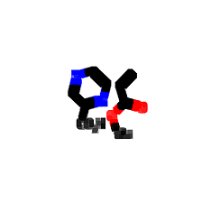 C=CC(=O)OC(C)(C)C.O=C(O)c1cnccn1